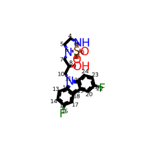 O=S1(=O)NCCN1CC(O)Cn1c2ccc(F)cc2c2cc(F)ccc21